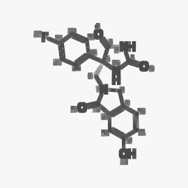 O=C1NC(=O)[C@](CN2Cc3ccc(O)cc3C2=O)(c2ccc(F)cc2)N1